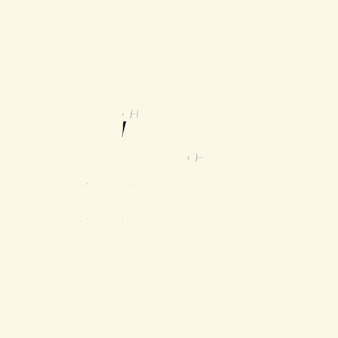 CCC1OS(=O)(=O)OC[C@H]1C